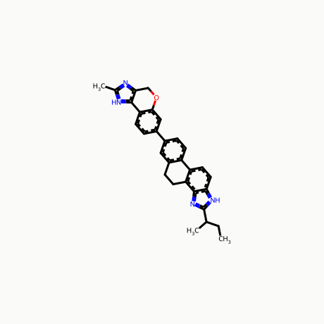 CCC(C)c1nc2c3c(ccc2[nH]1)-c1ccc(-c2ccc4c(c2)OCc2nc(C)[nH]c2-4)cc1CC3